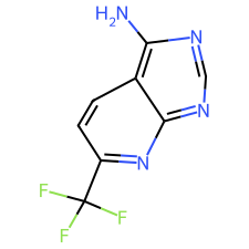 Nc1ncnc2nc(C(F)(F)F)ccc12